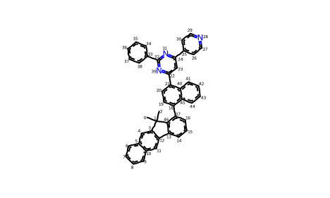 CC1(C)c2cc3ccccc3cc2-c2cccc(-c3ccc(-c4cc(-c5ccncc5)nc(-c5ccccc5)n4)c4ccccc34)c21